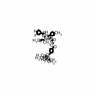 COC[C@H](C)N/C(=N/C(=O)c1ccc(F)c(F)c1)Nc1nn(C(=O)OCOC(=O)c2ccc(COP(=O)(OC(C)(C)C)OC(C)(C)C)cc2)c2cc(C)ccc12